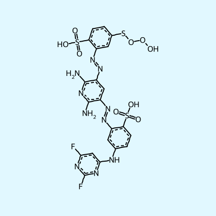 Nc1nc(N)c(/N=N/c2cc(SOOO)ccc2S(=O)(=O)O)cc1/N=N/c1cc(Nc2cc(F)nc(F)n2)ccc1S(=O)(=O)O